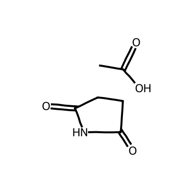 CC(=O)O.O=C1CCC(=O)N1